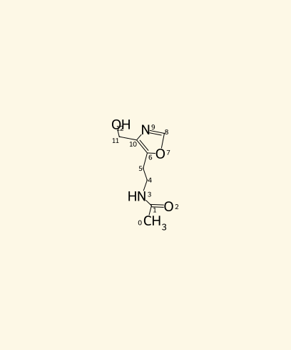 CC(=O)NCCc1ocnc1CO